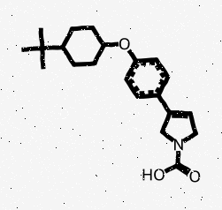 CC(C)(C)C1CCC(Oc2ccc(C3=CCN(C(=O)O)C3)cc2)CC1